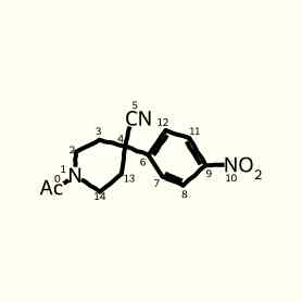 CC(=O)N1CCC(C#N)(c2ccc([N+](=O)[O-])cc2)CC1